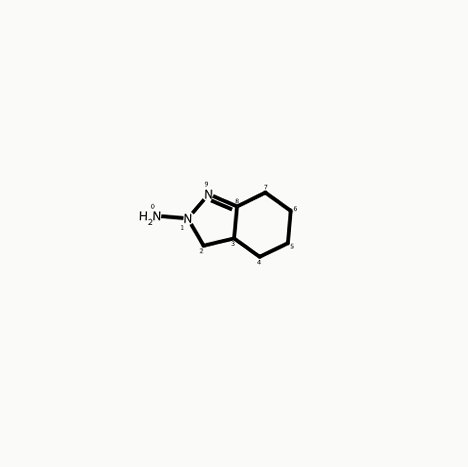 NN1CC2CCCCC2=N1